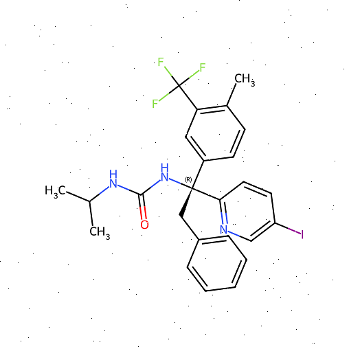 Cc1ccc([C@@](Cc2ccccc2)(NC(=O)NC(C)C)c2ccc(I)cn2)cc1C(F)(F)F